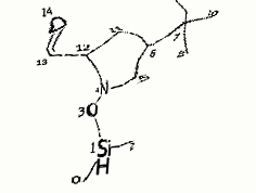 C[SiH](C)ON1CC(C(C)(C)C)CC1C=O